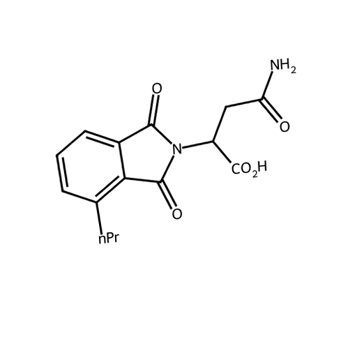 CCCc1cccc2c1C(=O)N(C(CC(N)=O)C(=O)O)C2=O